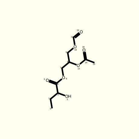 CCC(O)C(=O)OCC(COC=O)OC(C)=O